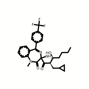 CCCC[C@H](O)[C@@H](CC1CC1)C(=O)C1(N)N=C(c2ccc(C(F)(F)F)cc2)c2ccccc2N(C)C1=O